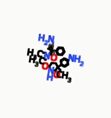 CCC1(c2ccc(N)cc2)CCC(=O)NC1=O.CCN(CC)C(=O)[C@]1(c2ccccc2)C[C@@H]1CN